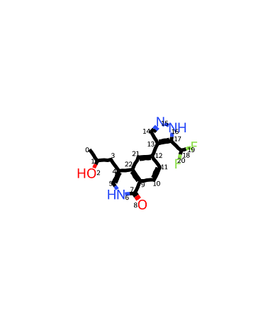 CC(O)Cc1c[nH]c(=O)c2ccc(-c3cn[nH]c3C(F)F)cc12